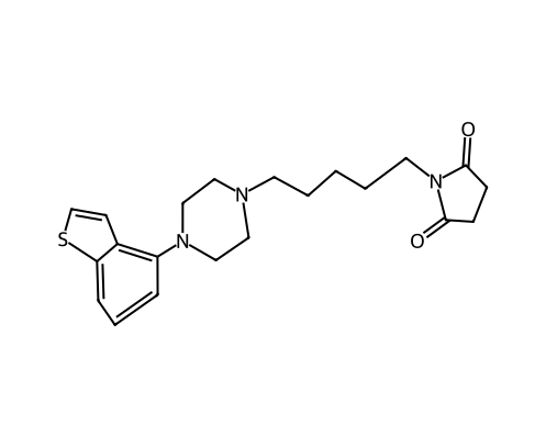 O=C1CCC(=O)N1CCCCCN1CCN(c2cccc3sccc23)CC1